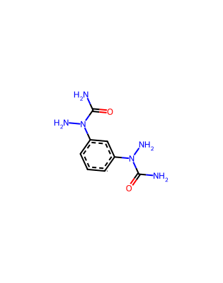 NC(=O)N(N)c1[c]ccc(N(N)C(N)=O)c1